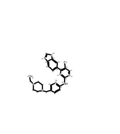 CCN1CCN(Cc2ccc(Nc3ncc(F)c(-c4ccc5ncsc5c4)n3)nc2)CC1